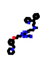 CN(CCCN/C(=N/CCCOc1cccc(CN2CCCCC2)c1)NC#N)CCC(c1ccccc1)c1ccccn1